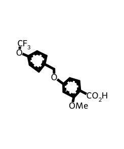 COc1cc(OCc2ccc(OC(F)(F)F)cc2)ccc1C(=O)O